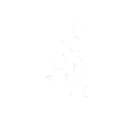 CC(C)(C)OC(=O)N1CCn2c(C(=O)c3ccccc3)nc(C(=O)O)c2C1